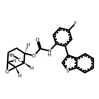 O=C(Nc1ccc(F)cc1-c1csc2ccccc12)O[C@@H]1CC2NC[C@H]1[C@@H]1O[C@H]21